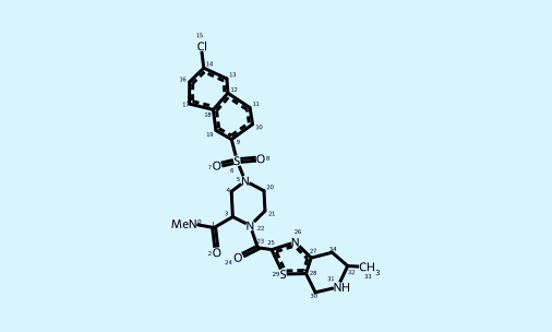 CNC(=O)C1CN(S(=O)(=O)c2ccc3cc(Cl)ccc3c2)CCN1C(=O)c1nc2c(s1)CNC(C)C2